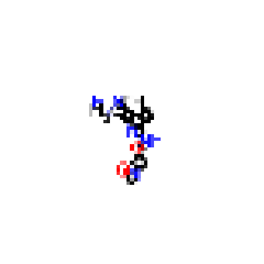 CC(C)(N)c1ccc(-c2ncc(NC(=O)C[C@H]3CC[C@H](N4CCCC4=O)CC3)cc2-c2ccccc2)cc1